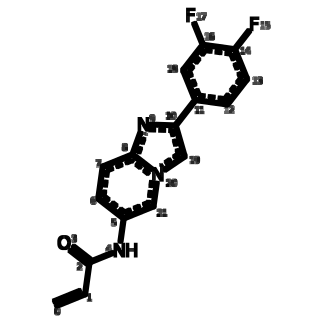 C=CC(=O)Nc1ccc2nc(-c3ccc(F)c(F)c3)cn2c1